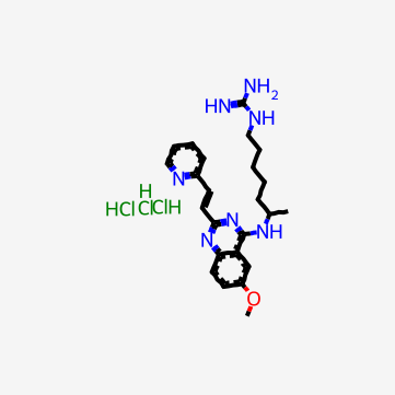 COc1ccc2nc(C=Cc3ccccn3)nc(NC(C)CCCCCNC(=N)N)c2c1.Cl.Cl.Cl